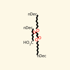 CCCCCCCCCCCCCCCCCC(=O)O.CCCCCCCCCCCCCCCCCCOC(=O)/C=C/C(=O)OCCCCCCCCCCCCCCCCCC